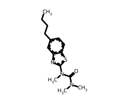 CCCCc1ccc2sc(N(C)C(=O)N(C)C)nc2c1